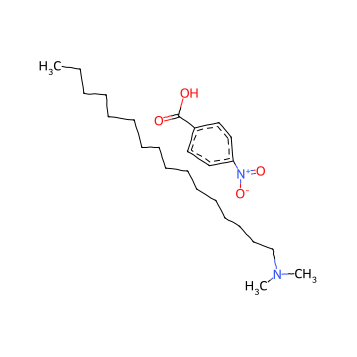 CCCCCCCCCCCCCCCCN(C)C.O=C(O)c1ccc([N+](=O)[O-])cc1